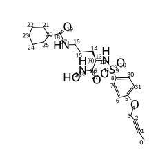 CC#CCOc1ccc(S(=O)(=O)N[C@H](CCCNC(=O)C2CCCCC2)C(=O)NO)cc1